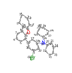 Brc1cc(-c2cccc3c2oc2ccccc23)cc(N(c2ccccc2)c2ccccc2)c1